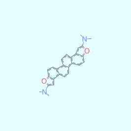 CN(C)c1cc2c(ccc3c2ccc2c4ccc5oc(N(C)C)cc5c4ccc32)o1